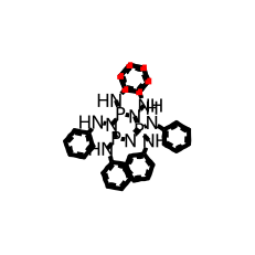 c1ccc(NN2P(Nc3ccccc3)N=P(Nc3ccccc3)(Nc3ccccc3)N(Nc3ccccc3)P2Nc2ccccc2)cc1